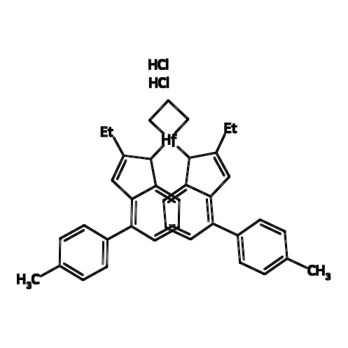 CCC1=Cc2c(-c3ccc(C)cc3)cccc2[CH]1[Hf]1([CH]2C(CC)=Cc3c(-c4ccc(C)cc4)cccc32)[CH2]C[CH2]1.Cl.Cl